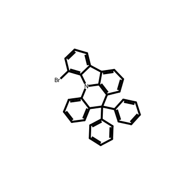 Brc1cccc2c3cccc4c3n(c12)-c1ccccc1C4(c1ccccc1)c1ccccc1